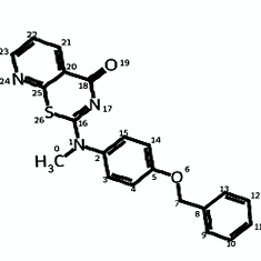 CN(c1ccc(OCc2ccccc2)cc1)c1nc(=O)c2cccnc2s1